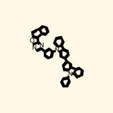 c1ccc(-n2c3ccccc3c3cc(-c4ccc5c6ccccc6n(-c6cccc(-c7cnc8oc9ccc%10ccccc%10c9c8n7)c6)c5c4)ccc32)cc1